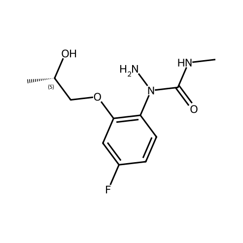 CNC(=O)N(N)c1ccc(F)cc1OC[C@H](C)O